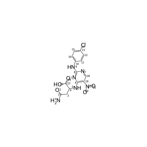 NC(=O)CC(Nc1nc(Nc2ccc(Cl)cc2)ncc1[N+](=O)[O-])C(=O)O